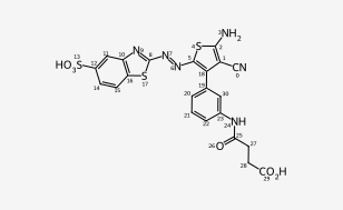 N#Cc1c(N)sc(N=Nc2nc3cc(S(=O)(=O)O)ccc3s2)c1-c1cccc(NC(=O)CCC(=O)O)c1